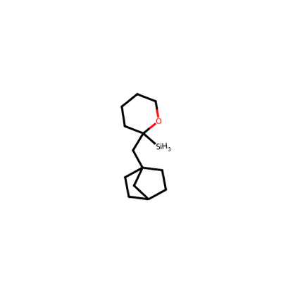 [SiH3]C1(CC23CCC(CC2)C3)CCCCO1